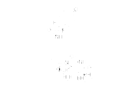 BC1C(B)(B)C(=O)NC(=O)[C@@]1(B)N1Cc2cc(CNC(=O)C(F)(F)c3ccc(Cl)cc3)ccc2C1=O